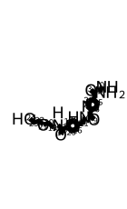 NNC(=O)c1ccc(C(=O)NCc2ccc(C(=O)NCCOCCO)cc2)nc1